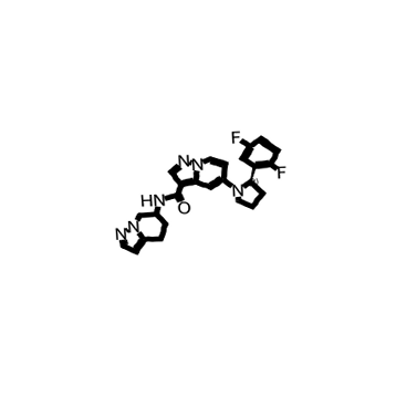 O=C(NC1CCc2ccnn2C1)c1cnn2ccc(N3CCC[C@@H]3c3cc(F)ccc3F)cc12